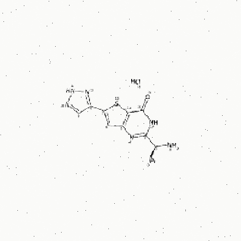 CC(C)[C@H](N)c1nc2cc(-c3cn[nH]n3)sc2c(=O)[nH]1.Cl